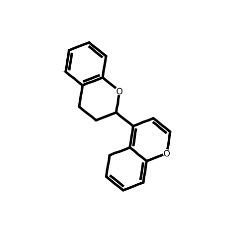 [c]1cccc2c1CCC(C1=C3CC=CC=C3OC=C1)O2